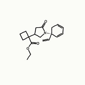 C=C[C@]1(N2CC(C3(C(=O)OCC)CCC3)CC2=O)C=CC=CC1